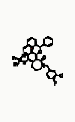 CC(C)[Si](Oc1c2c(c(OC(c3ccccc3)c3ccccc3)c3ncccc13)C(=O)N(Cc1ccc(F)c(Cl)c1)CCC2)(C(C)C)C(C)C